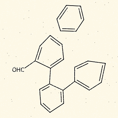 O=Cc1ccccc1-c1ccccc1-c1ccccc1.c1ccccc1